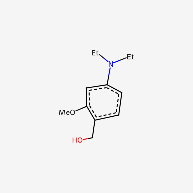 CCN(CC)c1ccc(CO)c(OC)c1